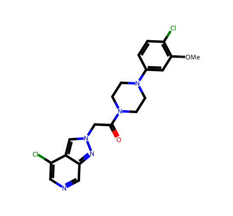 COc1cc(N2CCN(C(=O)Cn3cc4c(Cl)cncc4n3)CC2)ccc1Cl